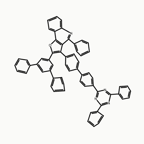 c1ccc(-c2cc(-c3ccccc3)cc(-c3oc4c(c(-c5ccccc5)nc5ccccc54)c3-c3ccc(-c4ccc(-c5nc(-c6ccccc6)nc(-c6ccccc6)n5)cc4)cc3)c2)cc1